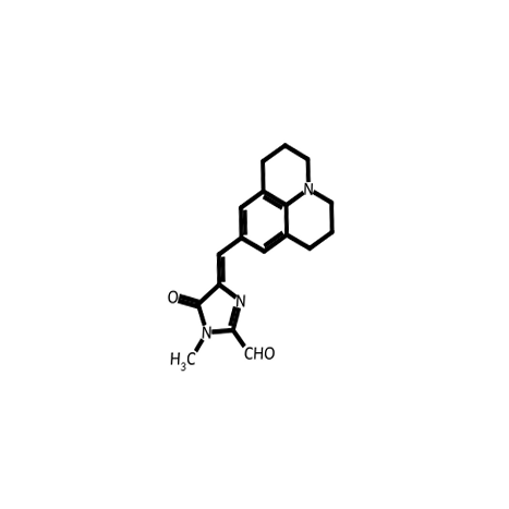 CN1C(=O)/C(=C/c2cc3c4c(c2)CCCN4CCC3)N=C1C=O